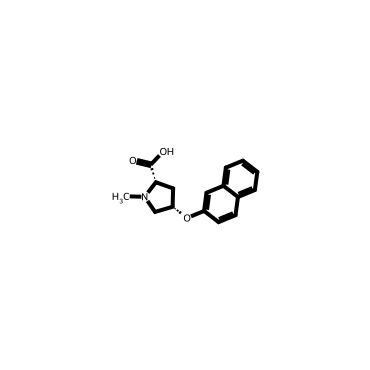 CN1C[C@@H](Oc2ccc3ccccc3c2)C[C@H]1C(=O)O